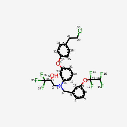 O[C@H](CN(Cc1cccc(OC(F)(F)C(F)F)c1)c1cccc(Oc2ccc(CCCl)cc2)c1)C(F)(F)F